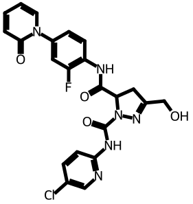 O=C(Nc1ccc(-n2ccccc2=O)cc1F)C1CC(CO)=NN1C(=O)Nc1ccc(Cl)cn1